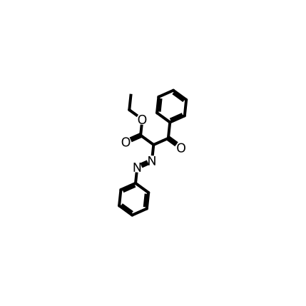 CCOC(=O)C(/N=N/c1ccccc1)C(=O)c1ccccc1